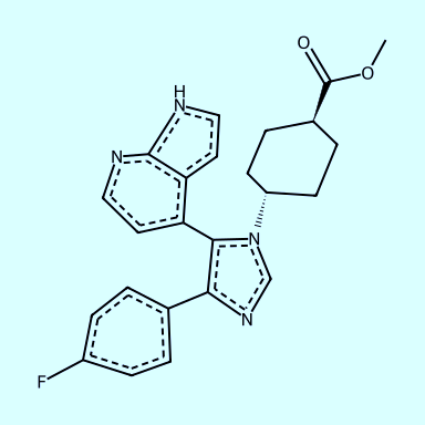 COC(=O)[C@H]1CC[C@H](n2cnc(-c3ccc(F)cc3)c2-c2ccnc3[nH]ccc23)CC1